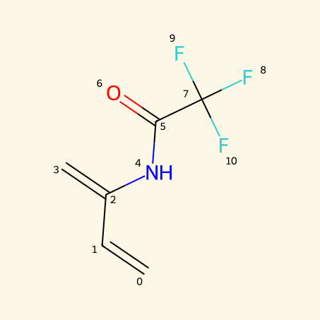 C=CC(=C)NC(=O)C(F)(F)F